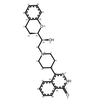 O=c1[nH]nc(C2CCN(C[C@H](O)[C@H]3CCc4ccccc4O3)CC2)c2ccccc12